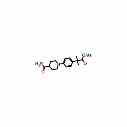 COC(=O)C(C)(C)c1ccc(N2CCC(C(N)=O)CC2)cc1